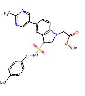 COc1ccc(CNS(=O)(=O)c2cn(CC(=O)OC(C)(C)C)c3ccc(-c4cnc(C)nc4)cc23)cc1